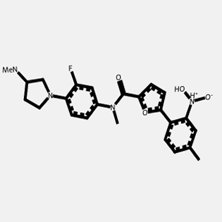 CNC1CCN(c2ccc(N(C)C(=O)c3ccc(-c4ccc(C)cc4[NH+]([O-])O)o3)cc2F)C1